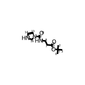 CC(C)(C)OC(=O)CCNC(=O)N1C=CNC1